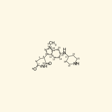 Cn1cc(C2CCC(=O)NC2=O)c2ccc(NC3CCNCC3)cc21